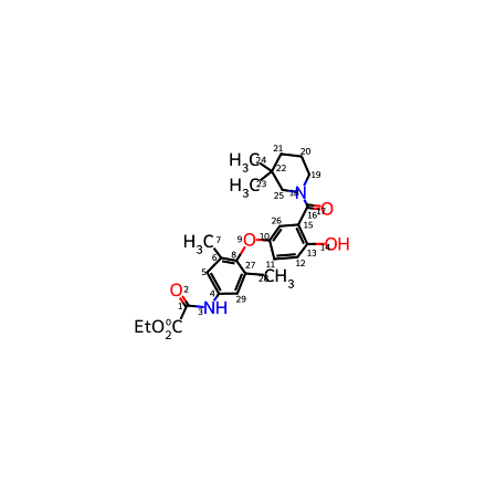 CCOC(=O)C(=O)Nc1cc(C)c(Oc2ccc(O)c(C(=O)N3CCCC(C)(C)C3)c2)c(C)c1